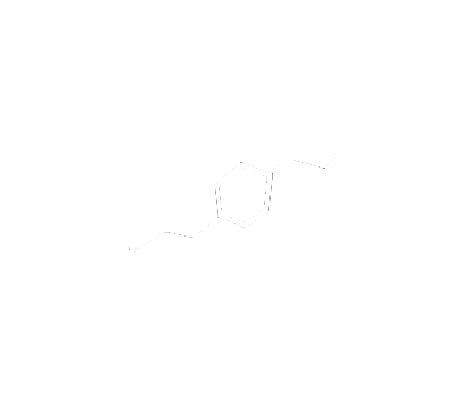 CCOc1ccc(CC[NH])cc1